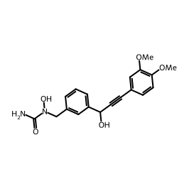 COc1ccc(C#CC(O)c2cccc(CN(O)C(N)=O)c2)cc1OC